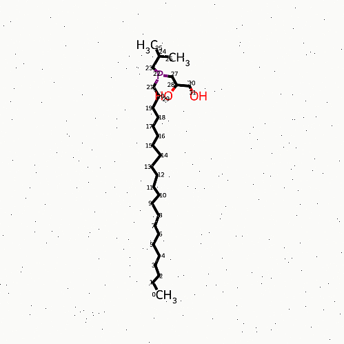 CCCCCCCCCCCCCCCCCCCCCCP(CC(C)C)CC(O)CO